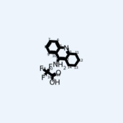 Nc1c2c(nc3ccccc13)CCCC2.O=C(O)C(F)(F)F